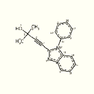 CC(C)(O)C#Cc1nc2ccccc2n1-c1ccccc1